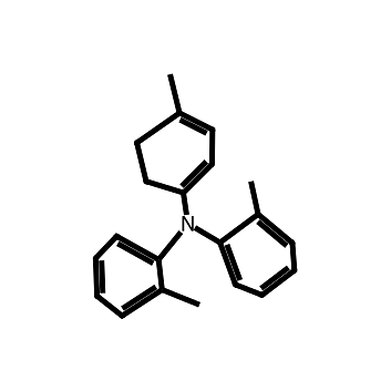 CC1=CC=C(N(c2ccccc2C)c2ccccc2C)CC1